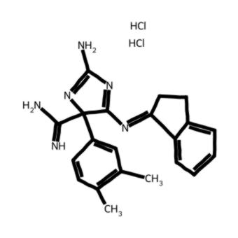 Cc1ccc(C2(C(=N)N)N=C(N)N=C2N=C2CCc3ccccc32)cc1C.Cl.Cl